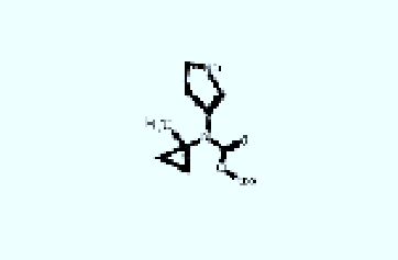 CC(C)(C)OC(=O)N([C@H]1CCNC1)C1(C)CC1